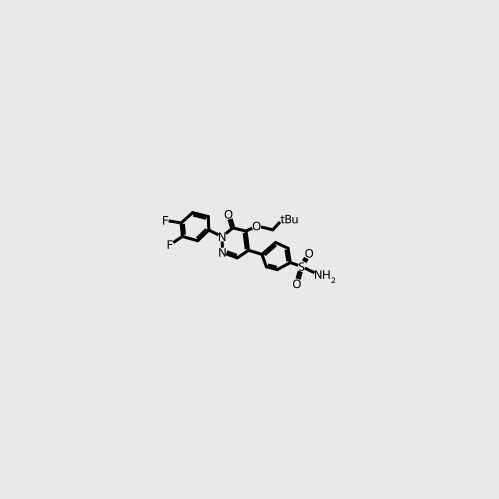 CC(C)(C)COc1c(-c2ccc(S(N)(=O)=O)cc2)cnn(-c2ccc(F)c(F)c2)c1=O